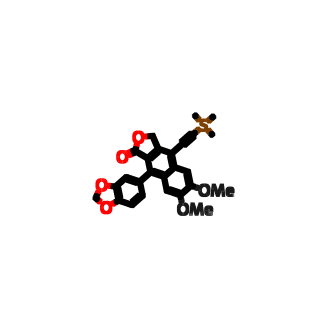 COc1cc2c(C#CS(C)(C)C)c3c(c(-c4ccc5c(c4)OCO5)c2cc1OC)C(=O)OC3